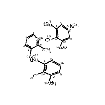 CC(=O)c1cccnc1C.CC(C)(C)c1cccc(C(C)(C)C)c1[O-].CC(C)(C)c1cccc(C(C)(C)C)c1[O-].[Al+2]